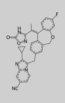 C/C(=C1/c2ccc(Cc3c(C4CC4)nc4cc(C#N)ccn34)cc2COc2cc(F)ccc21)c1noc(=O)[nH]1